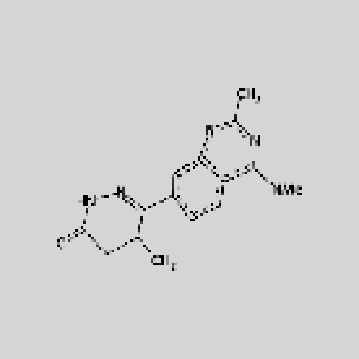 CNc1nc(C)nc2cc(C3=NNC(=O)CC3C)ccc12